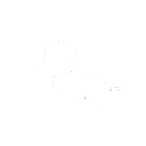 O=C1CC(c2cccc(C(=O)O)c2C(=O)O)C(=O)O1